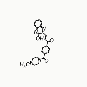 CN1CCN(C(=O)c2ccc(C(=O)C=Cc3nc4ccccc4nc3O)cc2)CC1